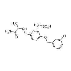 CC(NCc1ccc(OCc2cccc(Cl)c2)cc1)C(N)=O.CS(=O)(=O)O